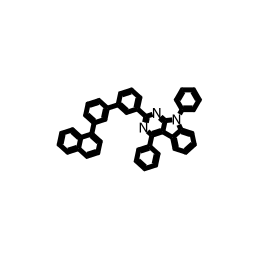 c1ccc(-c2nc(-c3cccc(-c4cccc(-c5cccc6ccccc56)c4)c3)nc3c2c2ccccc2n3-c2ccccc2)cc1